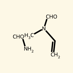 C=CN(C)C=O.NC=O